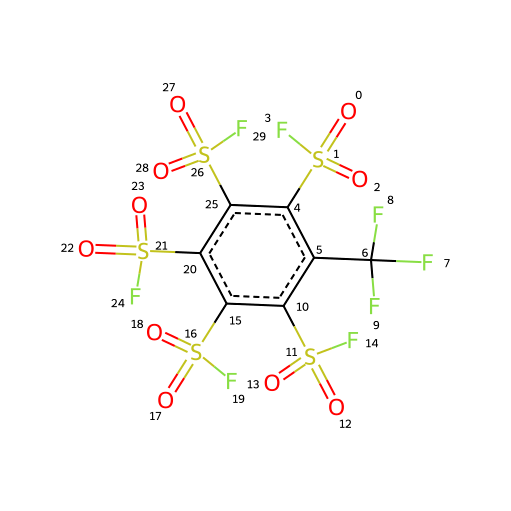 O=S(=O)(F)c1c(C(F)(F)F)c(S(=O)(=O)F)c(S(=O)(=O)F)c(S(=O)(=O)F)c1S(=O)(=O)F